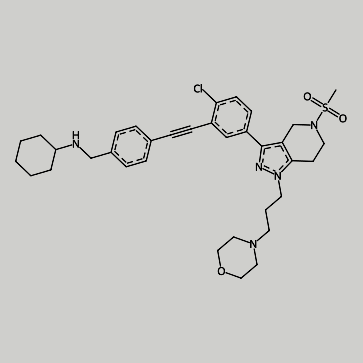 CS(=O)(=O)N1CCc2c(c(-c3ccc(Cl)c(C#Cc4ccc(CNC5CCCCC5)cc4)c3)nn2CCCN2CCOCC2)C1